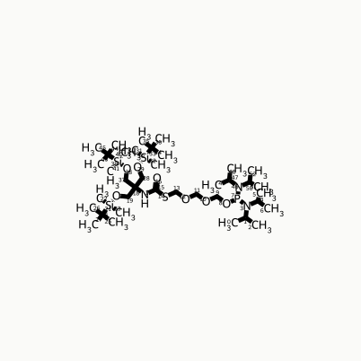 CC(C)N(C(C)C)P(OCOCOCSC(=O)NC(CO[Si](C)(C)C(C)(C)C)(CO[Si](C)(C)C(C)(C)C)CO[Si](C)(C)C(C)(C)C)N(C(C)C)C(C)C